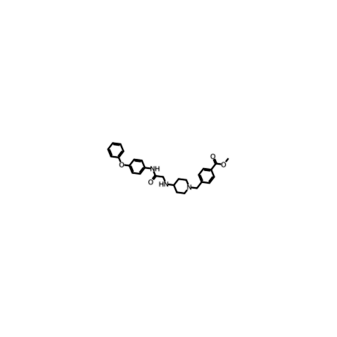 COC(=O)c1ccc(CN2CCC(NCC(=O)Nc3ccc(Oc4ccccc4)cc3)CC2)cc1